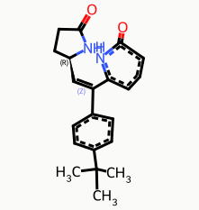 CC(C)(C)c1ccc(/C(=C/[C@H]2CCC(=O)N2)c2cccc(=O)[nH]2)cc1